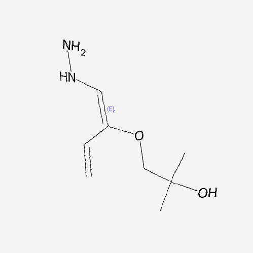 C=C/C(=C\NN)OCC(C)(C)O